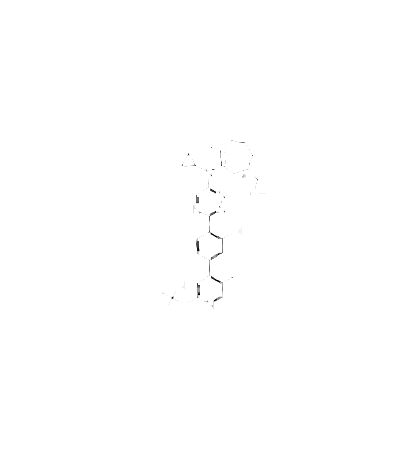 CC[C@@H]1CCC[C@H](F)[C@H](N(c2cnc(-c3ccc(-c4cc(OC(S)(S)S)ncc4F)cc3O)nn2)C2CC2)C1